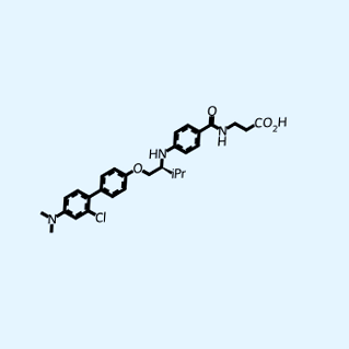 CC(C)[C@@H](COc1ccc(-c2ccc(N(C)C)cc2Cl)cc1)Nc1ccc(C(=O)NCCC(=O)O)cc1